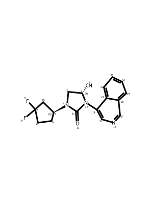 N#C[C@H]1CN([C@H]2CCC(F)(F)C2)C(=O)N1c1cncc2ccccc12